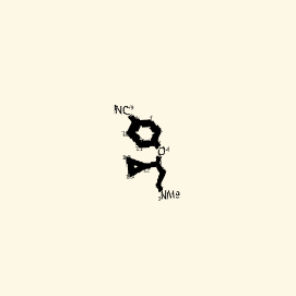 CNCCC(Oc1ccc(C#N)cc1)C1CC1